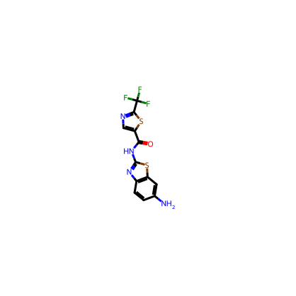 Nc1ccc2nc(NC(=O)c3cnc(C(F)(F)F)s3)sc2c1